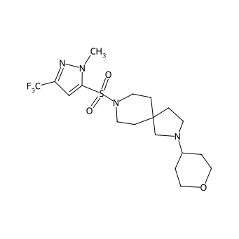 Cn1nc(C(F)(F)F)cc1S(=O)(=O)N1CCC2(CCN(C3CCOCC3)C2)CC1